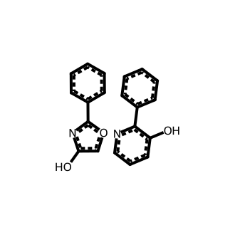 Oc1cccnc1-c1ccccc1.Oc1coc(-c2ccccc2)n1